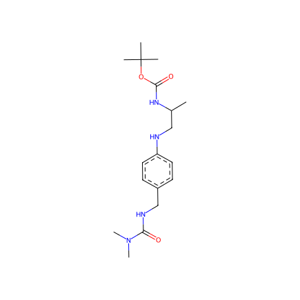 CC(CNc1ccc(CNC(=O)N(C)C)cc1)NC(=O)OC(C)(C)C